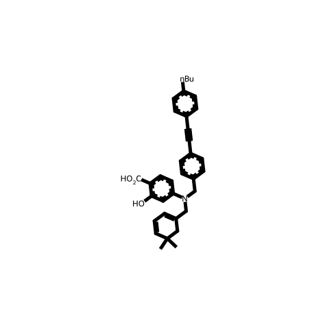 CCCCc1ccc(C#Cc2ccc(CN(CC3=CC=CC(C)(C)C3)c3ccc(C(=O)O)c(O)c3)cc2)cc1